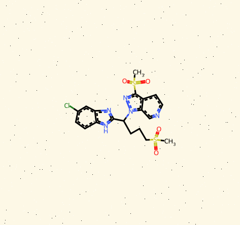 CS(=O)(=O)CCCC(c1nc2cc(Cl)ccc2[nH]1)n1nc(S(C)(=O)=O)c2ccncc21